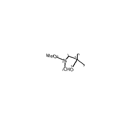 CON(C=O)CC(C)(C)C